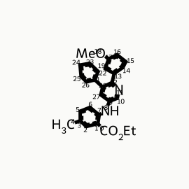 CCOC(=O)c1cc(C)ccc1Nc1cnc(-c2cccc(OC)c2)c(-c2ccccc2)c1